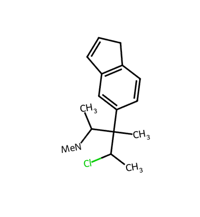 CNC(C)C(C)(c1ccc2c(c1)C=CC2)C(C)Cl